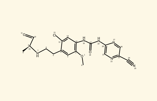 COc1cc(CCN[C@@H](C)C=O)c(Cl)cc1NC(=O)Nc1cnc(C#N)cn1